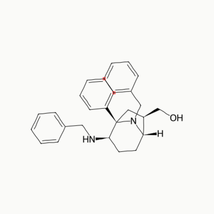 OC[C@@H]1C[C@@]2(c3ccccc3)[C@H](NCc3ccccc3)CC[C@@H]1N2Cc1ccccc1